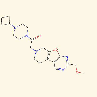 COCc1ncc2c3c(oc2n1)CN(CC(=O)N1CCN(C2CCC2)CC1)CC3